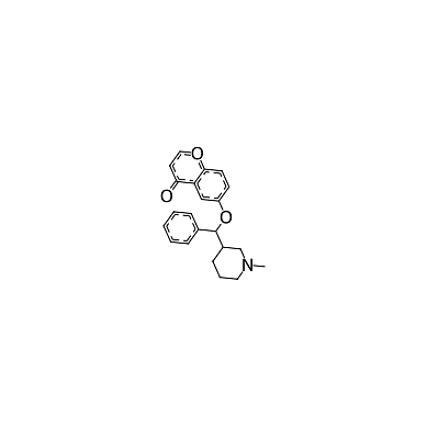 CN1CCCC(C(Oc2ccc3occc(=O)c3c2)c2ccccc2)C1